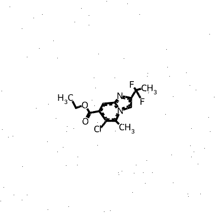 CCOC(=O)c1cc2nc(C(C)(F)F)cn2c(C)c1Cl